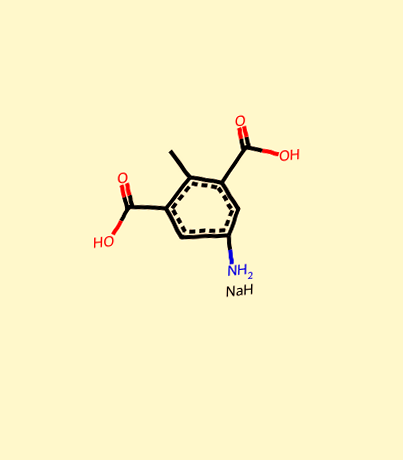 Cc1c(C(=O)O)cc(N)cc1C(=O)O.[NaH]